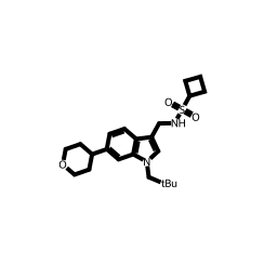 CC(C)(C)Cn1cc(CNS(=O)(=O)C2CCC2)c2ccc(C3CCOCC3)cc21